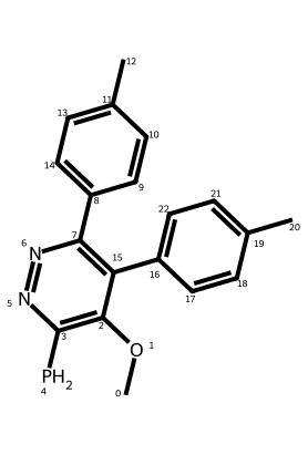 COc1c(P)nnc(-c2ccc(C)cc2)c1-c1ccc(C)cc1